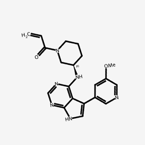 C=CC(=O)N1CCC[C@@H](Nc2ncnc3[nH]cc(-c4cncc(OC)c4)c23)C1